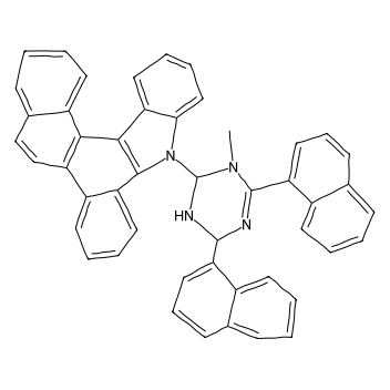 CN1C(c2cccc3ccccc23)=NC(c2cccc3ccccc23)NC1n1c2ccccc2c2c3c4ccccc4ccc3c3ccccc3c21